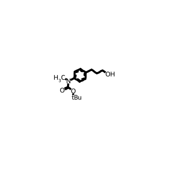 CN(C(=O)OC(C)(C)C)c1ccc(CCCO)cc1